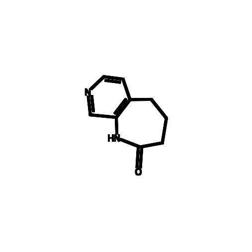 O=C1CCCc2ccncc2N1